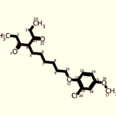 CCC(=O)C(CCCCCCOc1ccc(OC)cc1Cl)C(=O)CC